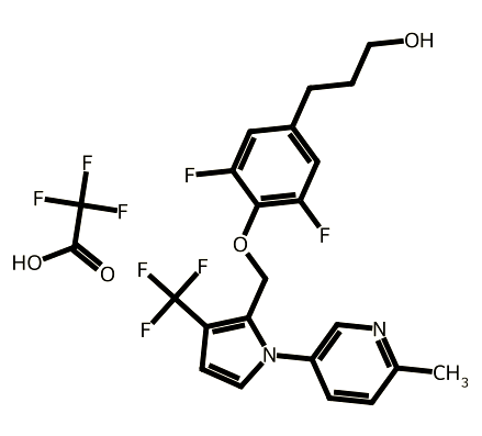 Cc1ccc(-n2ccc(C(F)(F)F)c2COc2c(F)cc(CCCO)cc2F)cn1.O=C(O)C(F)(F)F